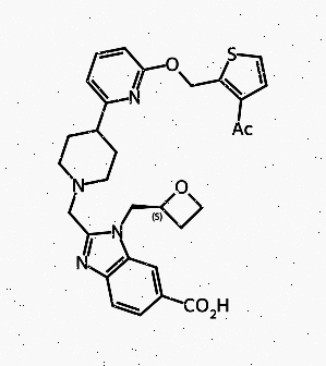 CC(=O)c1ccsc1COc1cccc(C2CCN(Cc3nc4ccc(C(=O)O)cc4n3C[C@@H]3CCO3)CC2)n1